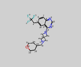 FC(F)(F)Cc1ccc2ncnc(N3CC4(CN(CC5CCOCC5)C4)C3)c2c1